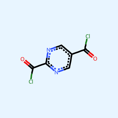 O=C(Cl)c1cnc(C(=O)Cl)nc1